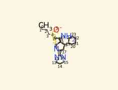 CCCC[S+]([O-])c1sc2nc(-c3ncccn3)cc(-c3ccccc3)c2c1N